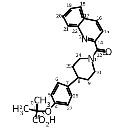 CC(C)(Oc1ccc(C2CCN(C(=O)c3ccc4ccccc4n3)CC2)cc1)C(=O)O